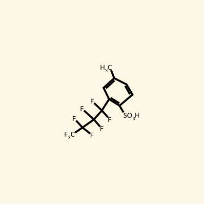 Cc1ccc(S(=O)(=O)O)c(C(F)(F)C(F)(F)C(F)(F)C(F)(F)F)c1